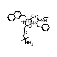 CCNC(=O)N(Cc1ccccc1)NC(=O)[C@@H](Cc1ccc2ccccc2c1)N(C)C(=O)COCC(C)(C)N